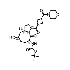 CC(C)(C)OC(=O)N[C@H]1CC[C@@H](O)C[C@H]2CC[C@@H](C(=O)N3CC(C(=O)N4CCOCC4)C3)N2C1=O